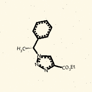 CCOC(=O)c1cn([C@H](C)c2ccccc2)nn1